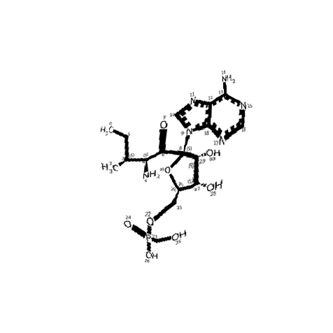 CC[C@H](C)[C@H](N)C(=O)[C@@]1(n2cnc3c(N)ncnc32)O[C@H](COP(=O)(O)O)[C@@H](O)[C@H]1O